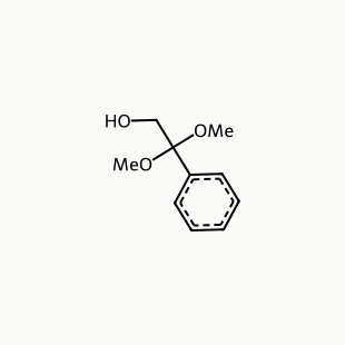 COC(CO)(OC)c1ccccc1